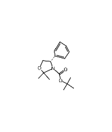 CC(C)(C)OC(=O)N1[C@@H](c2ccccc2)COC1(C)C